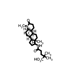 CN1C(=O)CC[C@]2(C)[C@H]3CC[C@]4(C)C(NC(=O)CCC(C)(C)C(=O)O)CC[C@H]4[C@@H]3CC[C@@H]12